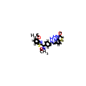 CON=C(c1nc2c(OC)cccc2s1)C1CCC(NCc2ccc3c(n2)NC(=O)CS3)CC1